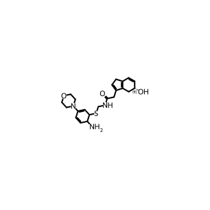 NC1C=CC(N2CCOCC2)=CC1SCNC(=O)CC1=CCC2=C1C[C@@H](O)C=C2